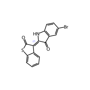 O=C1Sc2ccccc2/C1=C1/Nc2ccc(Br)cc2C1=O